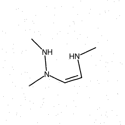 CN/C=C\N(C)NC